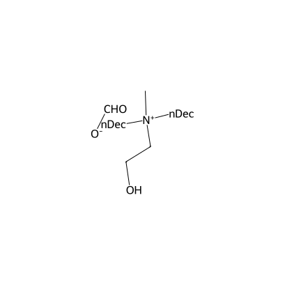 CCCCCCCCCC[N+](C)(CCO)CCCCCCCCCC.O=C[O-]